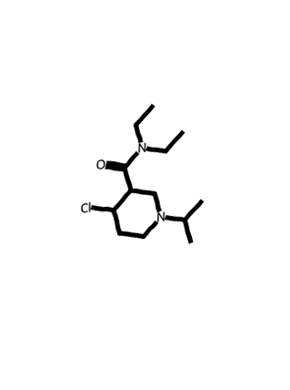 CCN(CC)C(=O)C1CN(C(C)C)CCC1Cl